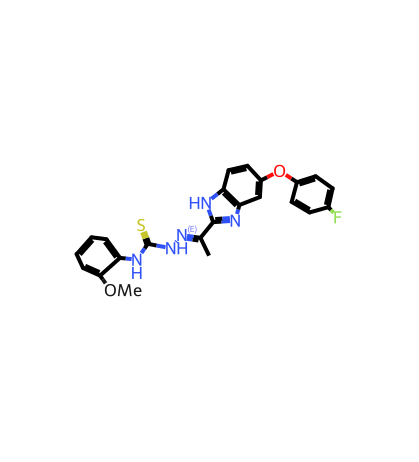 COc1ccccc1NC(=S)N/N=C(\C)c1nc2cc(Oc3ccc(F)cc3)ccc2[nH]1